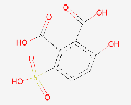 O=C(O)c1c(O)ccc(S(=O)(=O)O)c1C(=O)O